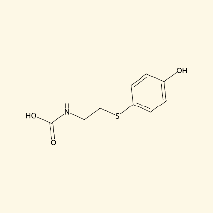 O=C(O)NCCSc1ccc(O)cc1